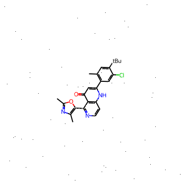 Cc1nc(C)c(-c2nccc3[nH]c(-c4cc(Cl)c(C(C)(C)C)cc4C)cc(=O)c23)o1